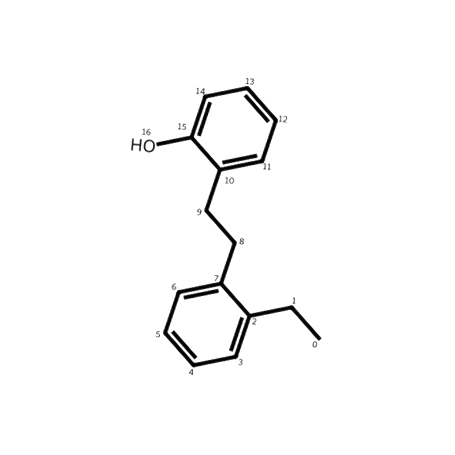 CCc1ccccc1CCc1ccccc1O